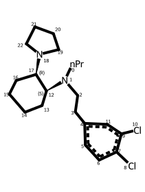 CCCN(CCc1ccc(Cl)c(Cl)c1)[C@H]1CCCC[C@H]1N1CCCC1